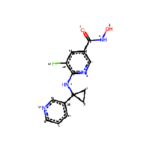 O=C(NO)c1cnc(NC2(c3cccnc3)CC2)c(F)c1